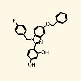 Oc1ccc(-c2nc3cc(OCc4ccccc4)ccc3n2Cc2ccc(F)cc2)c(O)c1